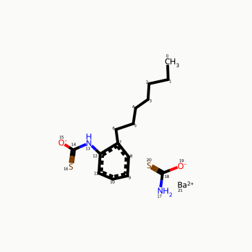 CCCCCCCc1ccccc1NC([O-])=S.NC([O-])=S.[Ba+2]